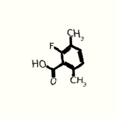 Cc1ccc(C)c(C(=O)O)c1F